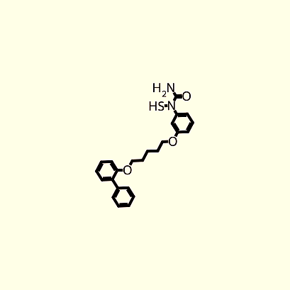 NC(=O)N(S)c1cccc(OCCCCCOc2ccccc2-c2ccccc2)c1